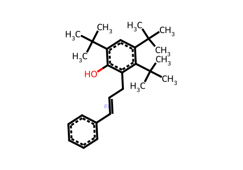 CC(C)(C)c1cc(C(C)(C)C)c(C(C)(C)C)c(C/C=C/c2ccccc2)c1O